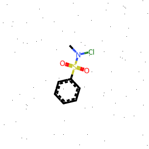 CN(Cl)S(=O)(=O)c1ccccc1